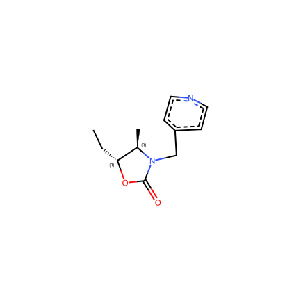 CC[C@H]1OC(=O)N(Cc2ccncc2)[C@@H]1C